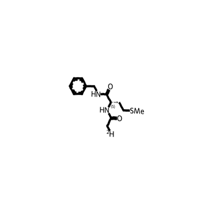 [2H]CC(=O)N[C@@H](CCSC)C(=O)NCc1ccccc1